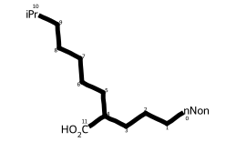 CCCCCCCCCCCCC(CCCCCC(C)C)C(=O)O